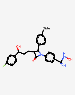 COc1ccc(C2C(CCC(O)c3ccc(F)cc3)C(=O)N2c2ccc(C(=N)NO)cc2)cc1